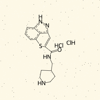 Cl.Cl.O=C(NCC1CCNCC1)C1=Cc2n[nH]c3cccc(c23)S1